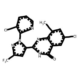 Cc1cc(Cl)cc2c(=O)[nH]c(-c3cc(C(F)(F)F)nn3-c3ncccc3Cl)nc12